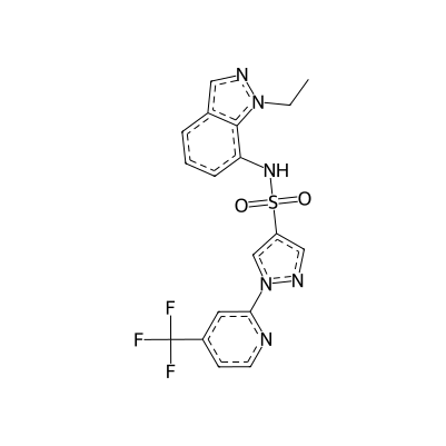 CCn1ncc2cccc(NS(=O)(=O)c3cnn(-c4cc(C(F)(F)F)ccn4)c3)c21